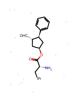 CC(C)C[C@@H](N)C(=O)O[C@@H]1C[C@H](c2ccccc2)[C@@H](C=O)C1